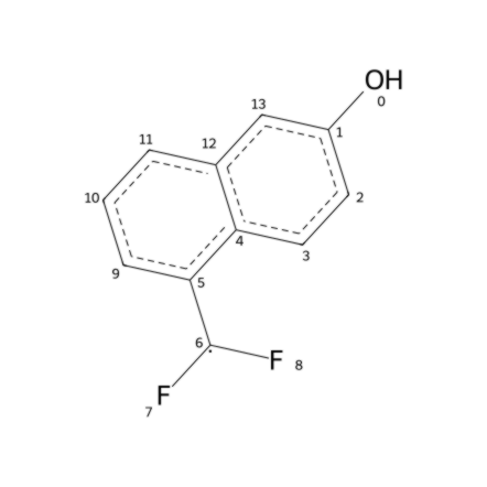 Oc1ccc2c([C](F)F)cccc2c1